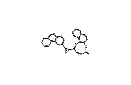 C=C1/C=C\C(C2N=C2c2ccc3ccc4c(c3c2)C=CCC4)=N/c2c(ccc3ccccc23)O1